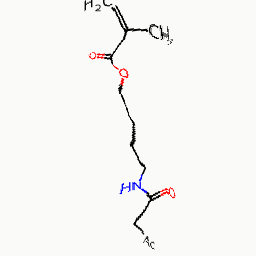 C=C(C)C(=O)OCCCCNC(=O)CC(C)=O